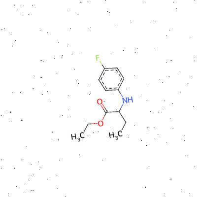 CCOC(=O)C(CC)Nc1ccc(F)cc1